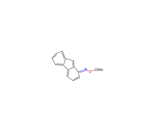 COON=C1C=CC=C2C1=Cc1ccccc12